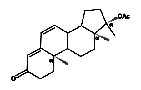 CC(=O)O[C@@]1(C)CCC2C3C=CC4=CC(=O)CC[C@]4(C)C3CC[C@@]21C